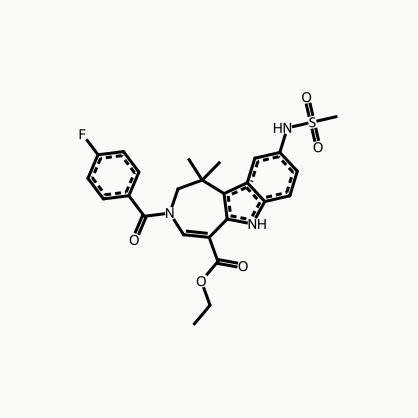 CCOC(=O)C1=CN(C(=O)c2ccc(F)cc2)CC(C)(C)c2c1[nH]c1ccc(NS(C)(=O)=O)cc21